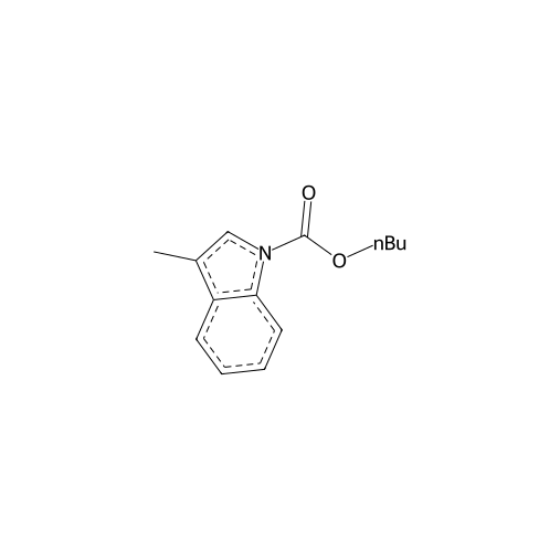 CCCCOC(=O)n1cc(C)c2ccccc21